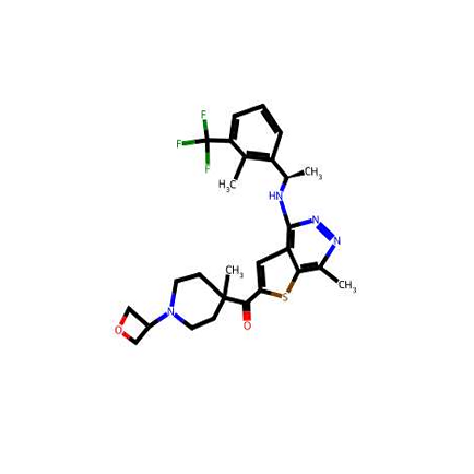 Cc1c([C@@H](C)Nc2nnc(C)c3sc(C(=O)C4(C)CCN(C5COC5)CC4)cc23)cccc1C(F)(F)F